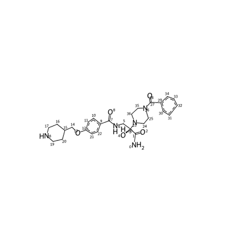 NC(=O)[C@](O)(CNC(=O)c1ccc(OCC2CCNCC2)cc1)N1CCN(C(=O)c2ccccc2)CC1